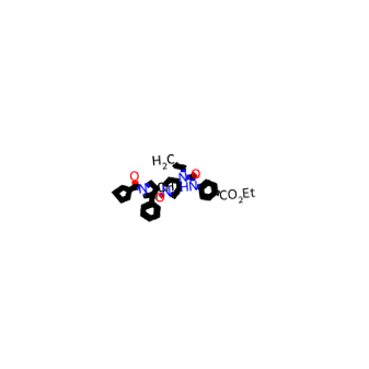 C=CCN(C(=O)Nc1ccc(C(=O)OCC)cc1)C1CCN(O[C@]2(c3ccccc3)CN(C(=O)C3CCCC3)C[C@@H]2C)CC1